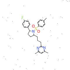 Cc1ccc(S(=O)(=O)N2C(CCCc3nc(C)cc(C)n3)CCC2c2ccc(F)cc2)cc1